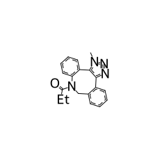 CCC(=O)N1Cc2ccccc2-c2nnn(C)c2-c2ccccc21